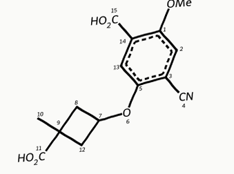 COc1cc(C#N)c(OC2CC(C)(C(=O)O)C2)cc1C(=O)O